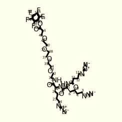 [N-]=[N+]=NCCCC[C@H](NC(=O)CCCN=[N+]=[N-])C(=O)N[C@@H](CCCCN=[N+]=[N-])C(=O)NCCOCCOCCOCCOCCC(=O)Oc1c(F)c(F)c(F)c(F)c1F